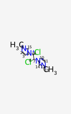 Cn1cc[n+](C(Cl)C(Cl)[n+]2ccn(C)c2)c1